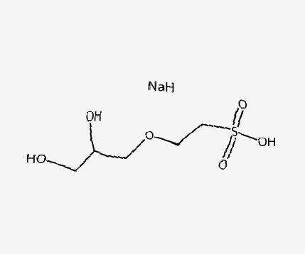 O=S(=O)(O)CCOCC(O)CO.[NaH]